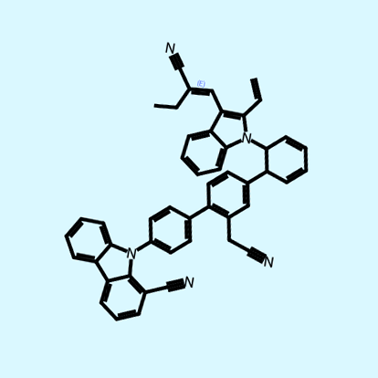 C=Cc1c(/C=C(/C#N)CC)c2ccccc2n1C1C=CC=CC1c1ccc(-c2ccc(-n3c4ccccc4c4cccc(C#N)c43)cc2)c(CC#N)c1